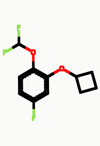 Fc1ccc(OC(F)F)c(OC2CCC2)c1